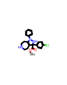 CC(C)(C)OC(=O)C1(c2ccc(Cl)cc2)NN(c2ccccc2)C2=C1CCNCC2